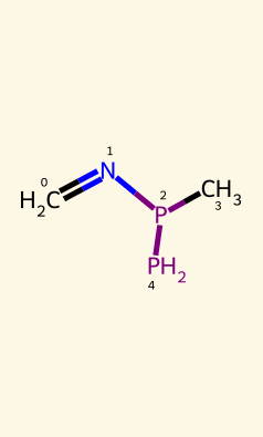 C=NP(C)P